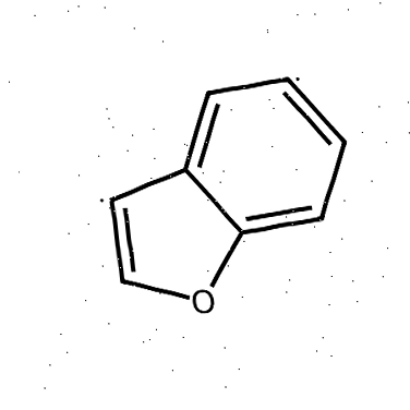 [c]1ccc2oc[c]c2c1